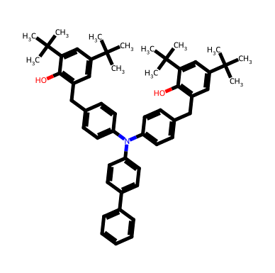 CC(C)(C)c1cc(Cc2ccc(N(c3ccc(Cc4cc(C(C)(C)C)cc(C(C)(C)C)c4O)cc3)c3ccc(-c4ccccc4)cc3)cc2)c(O)c(C(C)(C)C)c1